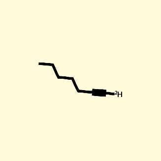 [2H]C#CCCCCC